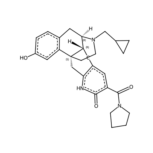 O=C(c1cc2c([nH]c1=O)C[C@]13CCN(CC4CC4)[C@H](Cc4ccc(O)cc41)[C@@H]3C2)N1CCCC1